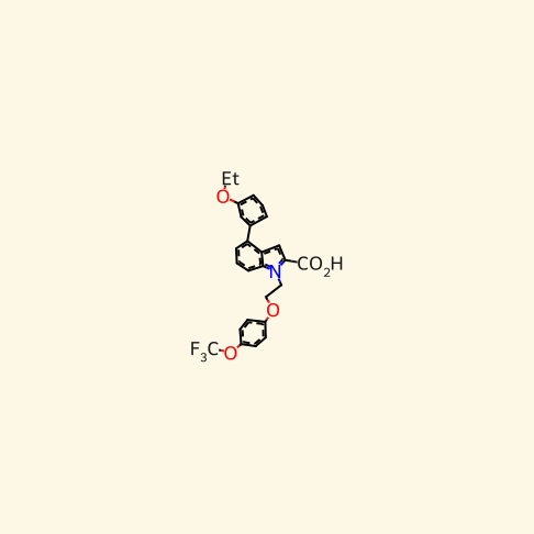 CCOc1cccc(-c2cccc3c2cc(C(=O)O)n3CCOc2ccc(OC(F)(F)F)cc2)c1